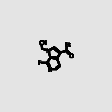 CCC(=O)c1cn(CC#N)c2c(F)nccc12